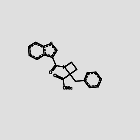 COC(=O)C1(Cc2ccccc2)CCN1C(=O)c1csc2ccccc12